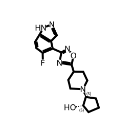 O[C@H]1CCC[C@@H]1N1CCC(c2nc(-c3c(F)ccc4[nH]ncc34)no2)CC1